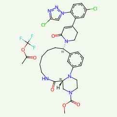 CC(=O)OC(F)(F)F.COC(=O)N1CCN2c3cccc(c3)[C@@H](N3CCC(c4cc(Cl)ccc4-n4cc(Cl)nn4)=CC3=O)CCCCCNC(=O)[C@H]2C1